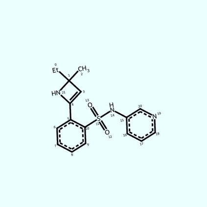 CCC1(C)C=C(c2ccccc2S(=O)(=O)Nc2cccnc2)N1